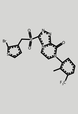 Cc1c(-n2ccn3c(S(=O)(=O)Cc4ccsc4Br)nnc3c2=O)cccc1C(F)(F)F